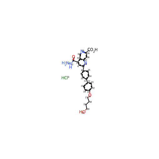 Cl.NNC(=O)c1cc(-c2ccc(-c3ccc(OCCCCO)cc3)cc2)nc2cc(C(=O)O)ncc12